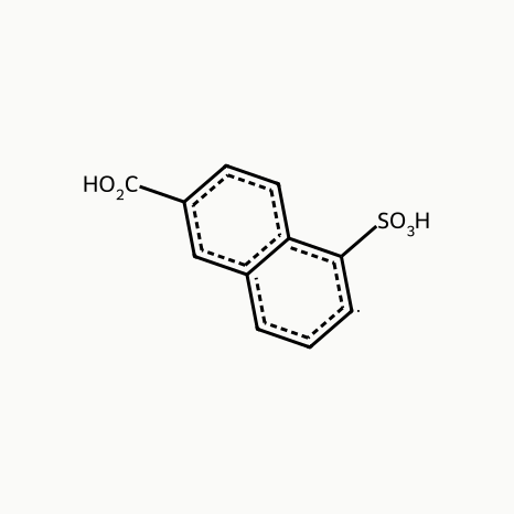 O=C(O)c1ccc2c(S(=O)(=O)O)[c]ccc2c1